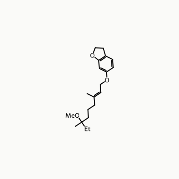 CCC(C)(CCC/C(C)=C/COc1ccc2c(c1)OCC2)OC